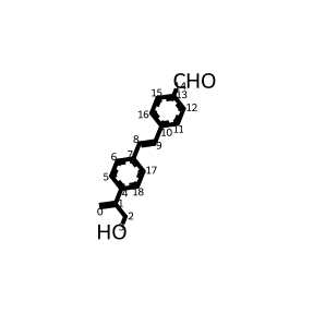 C=C(CO)c1ccc(C=Cc2ccc(C=O)cc2)cc1